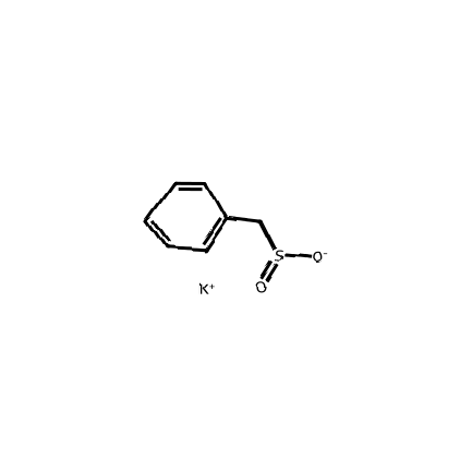 O=S([O-])Cc1ccccc1.[K+]